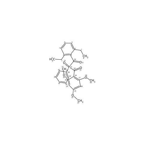 CCc1cccc(CC)c1C(=O)P(=O)(C(=O)c1c(OC)cc(OC)cc1OC)c1ccccc1